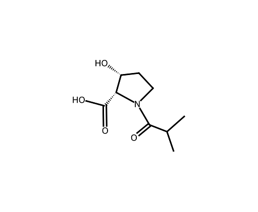 CC(C)C(=O)N1CC[C@@H](O)[C@H]1C(=O)O